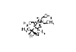 CCOP(=S)(SC(C)SC(C)(C#N)CBr)N(CC)CC